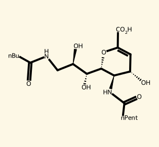 CCCCCC(=O)N[C@H]1[C@H]([C@H](O)[C@H](O)CNC(=O)CCCC)OC(C(=O)O)=C[C@@H]1O